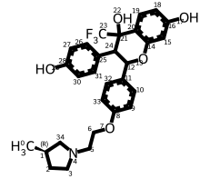 C[C@@H]1CCN(CCOc2ccc(C3Oc4cc(O)ccc4C(O)(C(F)(F)F)C3c3ccc(O)cc3)cc2)C1